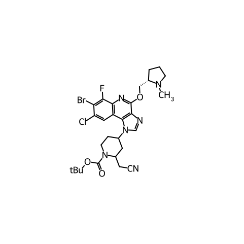 CN1CCC[C@H]1COc1nc2c(F)c(Br)c(Cl)cc2c2c1ncn2C1CCN(C(=O)OC(C)(C)C)C(CC#N)C1